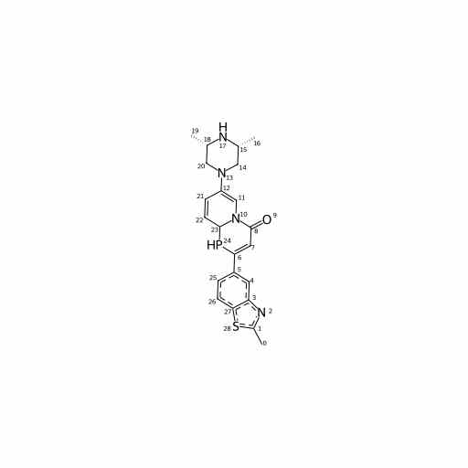 Cc1nc2cc(C3=CC(=O)N4C=C(N5C[C@@H](C)N[C@@H](C)C5)C=CC4P3)ccc2s1